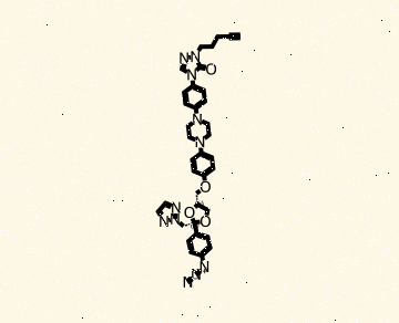 C#CCCCn1ncn(-c2ccc(N3CCN(c4ccc(OC[C@@H]5CO[C@@](Cn6nccn6)(c6ccc(N=[N+]=[N-])cc6)O5)cc4)CC3)cc2)c1=O